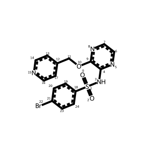 O=S(=O)(Nc1nccnc1OCc1ccncc1)c1ccc(Br)cc1